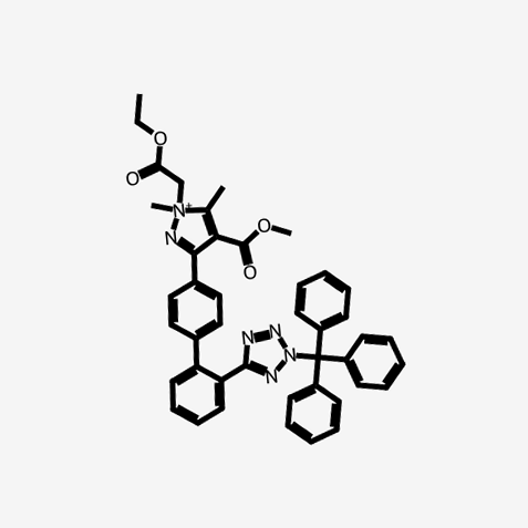 CCOC(=O)C[N+]1(C)N=C(c2ccc(-c3ccccc3-c3nnn(C(c4ccccc4)(c4ccccc4)c4ccccc4)n3)cc2)C(C(=O)OC)=C1C